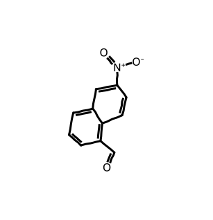 O=Cc1cccc2cc([N+](=O)[O-])ccc12